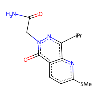 CSc1ccc2c(=O)n(CC(N)=O)nc(C(C)C)c2n1